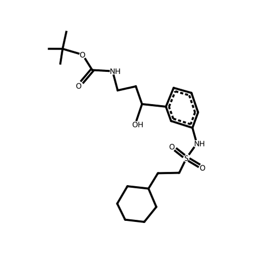 CC(C)(C)OC(=O)NCCC(O)c1cccc(NS(=O)(=O)CCC2CCCCC2)c1